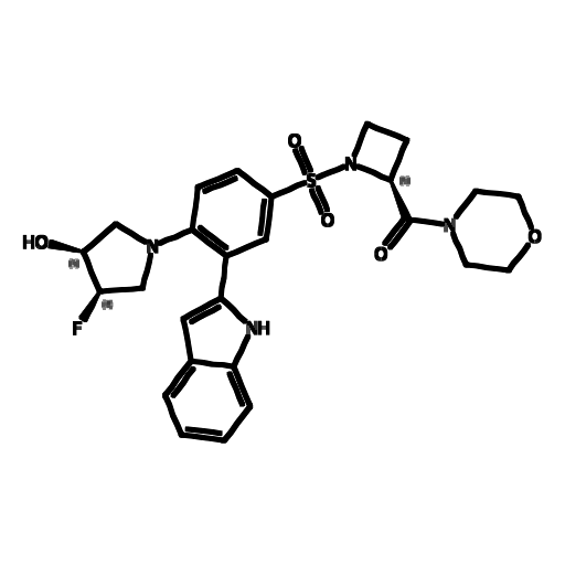 O=C([C@@H]1CCN1S(=O)(=O)c1ccc(N2C[C@@H](F)[C@@H](O)C2)c(-c2cc3ccccc3[nH]2)c1)N1CCOCC1